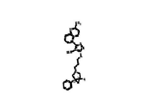 Cc1ccc2c(-c3nnc(SCCCN4C[C@@H]5C[C@]5(c5ccccc5)C4)n3C)cccc2n1